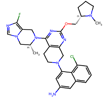 C[C@@H]1Cn2cnc(F)c2CN1c1nc(OC[C@@H]2CCCN2C)nc2c1CCN(c1cc(N)cc3cccc(Cl)c13)C2